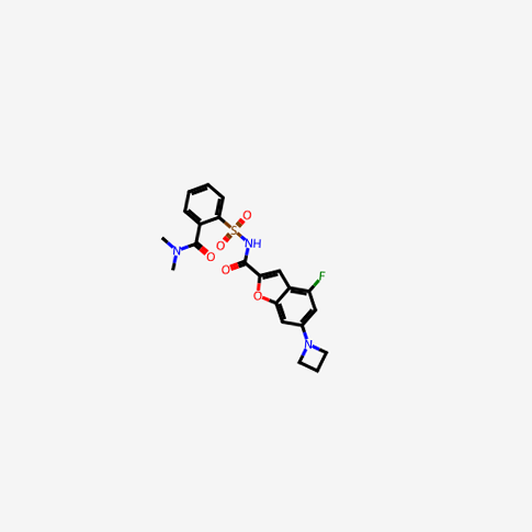 CN(C)C(=O)c1ccccc1S(=O)(=O)NC(=O)c1cc2c(F)cc(N3CCC3)cc2o1